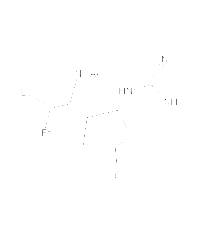 CCC(CC)C(NC(C)=O)C1CC(C)CC1NC(=N)N